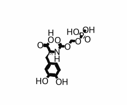 O=C(N[C@@H](Cc1ccc(O)c(O)c1)C(=O)O)OCOP(=O)(O)O